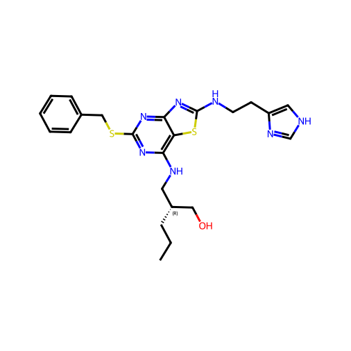 CCC[C@@H](CO)CNc1nc(SCc2ccccc2)nc2nc(NCCc3c[nH]cn3)sc12